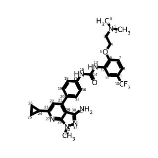 CN(C)CCOc1ccc(C(F)(F)F)cc1NC(=O)Nc1ccc(-c2cc(C3CC3)nc3c2c(N)nn3C)cc1